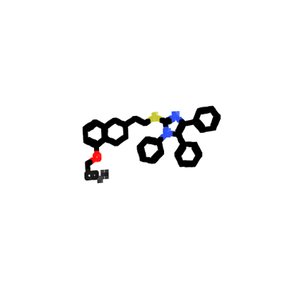 O=C(O)COc1cccc2c1CCC(CCSc1nc(-c3ccccc3)c(-c3ccccc3)n1-c1ccccc1)C2